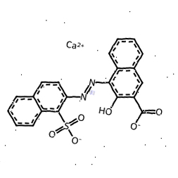 O=C([O-])c1cc2ccccc2c(/N=N/c2ccc3ccccc3c2S(=O)(=O)[O-])c1O.[Ca+2]